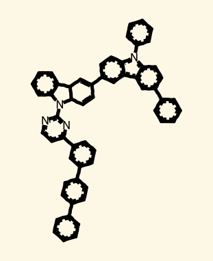 C1=CC2C(C=C1c1ccc3c(c1)c1cc(-c4ccccc4)ccc1n3-c1ccccc1)c1ccccc1N2c1nccc(-c2cccc(-c3ccc(-c4ccccc4)cc3)c2)n1